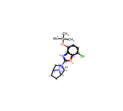 CC(C)(C)[Si](C)(C)Oc1ccc(Br)c2oc(N3CC4CCC(C3)N4C(=O)O)nc12